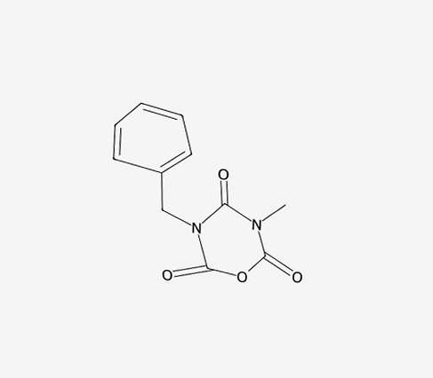 Cn1c(=O)oc(=O)n(Cc2ccccc2)c1=O